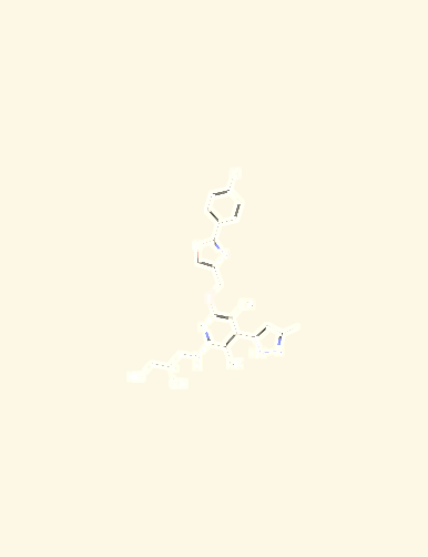 [C-]#[N+]c1c(NC[C@H](O)CO)nc(SCc2coc(-c3ccc(Cl)cc3)n2)c(C#N)c1-c1cc(C)n[nH]1